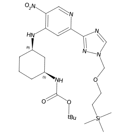 CC(C)(C)OC(=O)N[C@H]1CCC[C@@H](Nc2cc(-c3ncn(COCC[Si](C)(C)C)n3)ncc2[N+](=O)[O-])C1